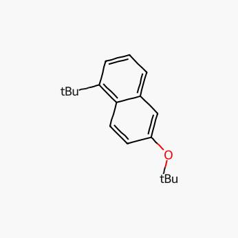 CC(C)(C)Oc1ccc2c(C(C)(C)C)cccc2c1